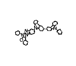 c1ccc(-n2c3ccccc3c3cc(-c4ccc5c(c4)c4ccccc4n5-c4ccc5c(c4)nc4n(-c6ccccc6)c6oc7ccccc7c6n54)ccc32)cc1